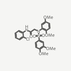 COc1ccc(OC)c(N(CC(=O)Nc2ccccc2Cl)S(=O)(=O)c2ccc(OC)c(OC)c2)c1